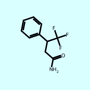 NC(=O)CC(c1ccccc1)C(F)(F)F